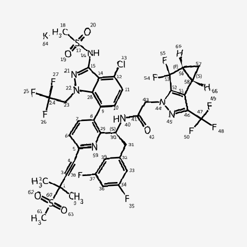 CC(C)(C#Cc1ccc(-c2ccc(Cl)c3c(NS(C)(=O)=O)nn(CC(F)(F)F)c23)c([C@H](Cc2cc(F)cc(F)c2)NC(=O)Cn2nc(C(F)(F)F)c3c2C(F)(F)[C@@H]2C[C@H]32)n1)S(C)(=O)=O.[K]